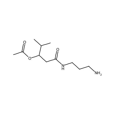 CC(=O)OC(CC(=O)NCCCN)C(C)C